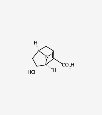 CN1[C@@H]2CC=C(C(=O)O)[C@H]1CC2.Cl